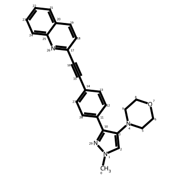 Cn1cc(N2CCOCC2)c(-c2ccc(C#Cc3ccc4ccccc4n3)cc2)n1